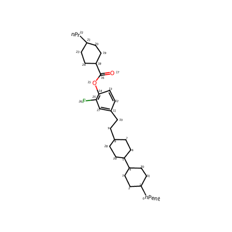 CCCCCC1CCC(C2CCC(CCc3ccc(OC(=O)C4CCC(CCC)CC4)c(F)c3)CC2)CC1